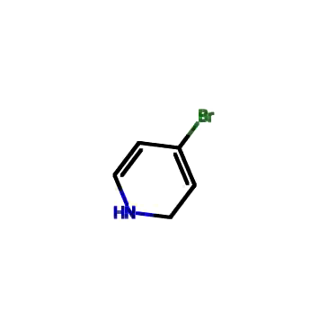 BrC1=CCNC=C1